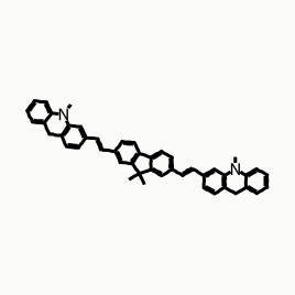 CN1c2ccccc2Cc2ccc(/C=C/c3ccc4c(c3)C(C)(C)c3cc(/C=C/c5ccc6c(c5)N(C)c5ccccc5C6)ccc3-4)cc21